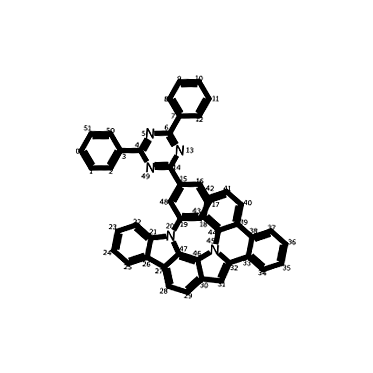 c1ccc(-c2nc(-c3ccccc3)nc(-c3cccc(-n4c5ccccc5c5ccc6cc7c8ccccc8c8ccccc8n7c6c54)c3)n2)cc1